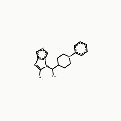 CC1=Nc2cncn2[SH]1C(O)C1CCN(c2ccccc2)CC1